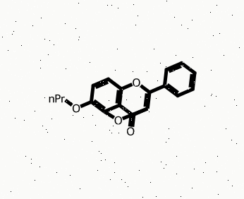 CCCOc1ccc2oc(-c3ccccc3)c3c(=O)c2c1O3